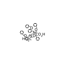 O=C(O)C(COCc1ccccc1)N(CCN(Cc1ccccc1OCc1ccccc1)C(COCc1ccccc1)C(=O)O)Cc1ccccc1OCc1ccccc1